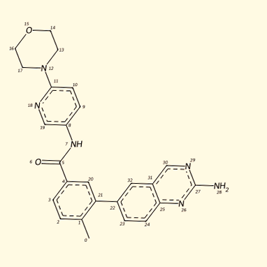 Cc1ccc(C(=O)Nc2ccc(N3CCOCC3)nc2)cc1-c1ccc2nc(N)ncc2c1